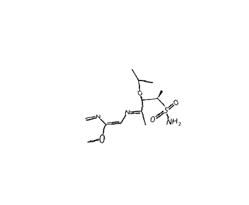 C=N/C(=C\N=C(/C)[C@@H](OC(C)C)[C@@H](C)S(N)(=O)=O)OC